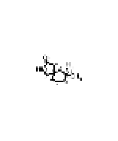 CC1(C)CCCC2(CNC(=O)C2)C1